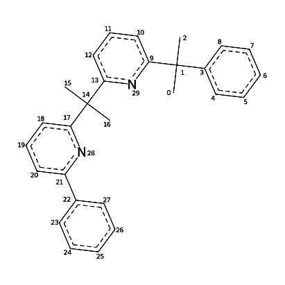 CC(C)(c1ccccc1)c1cccc(C(C)(C)c2cccc(-c3ccccc3)n2)n1